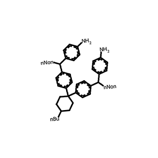 CCCCCCCCCC(c1ccc(N)cc1)c1ccc(C2(c3ccc(C(CCCCCCCCC)c4ccc(N)cc4)cc3)CCC(CCCC)CC2)cc1